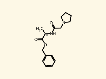 C[C@@H](NC(=O)CN1CCCC1)C(=O)OCc1ccccc1